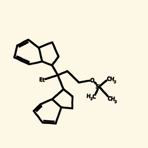 CCC(CCO[Si](C)(C)C)(C1CCC2C=CC=CC21)C1CCC2C=CC=CC21